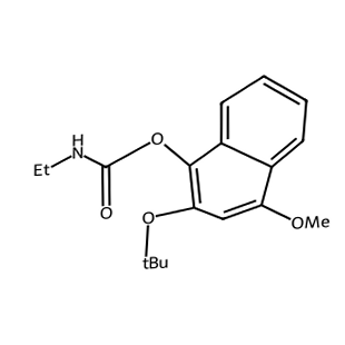 CCNC(=O)Oc1c(OC(C)(C)C)cc(OC)c2ccccc12